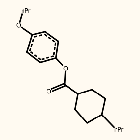 CCCOc1ccc(OC(=O)C2CCC(CCC)CC2)cc1